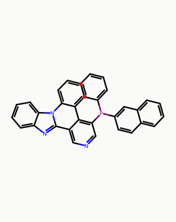 c1ccc(P(c2ccc3ccccc3c2)c2cncc3c2c2ccccc2n2c4ccccc4nc32)cc1